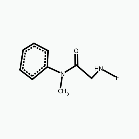 CN(C(=O)CNF)c1ccccc1